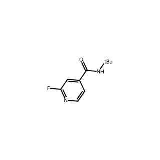 CC(C)(C)NC(=O)c1ccnc(F)c1